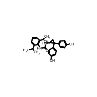 CC(C)c1cccc(C(C)C)c1NC(=O)NC1CC1(c1ccc(O)cc1)c1ccc(O)cc1